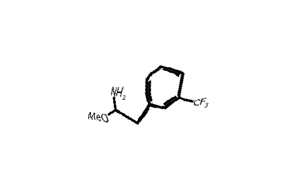 COC(N)Cc1cccc(C(F)(F)F)c1